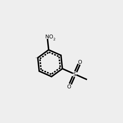 CS(=O)(=O)c1cc[c]c([N+](=O)[O-])c1